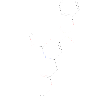 CC(C)(C)OC(=O)CC(/C=C/S(=O)(=O)Oc1ccccc1)NC(=O)OC(C)(C)C